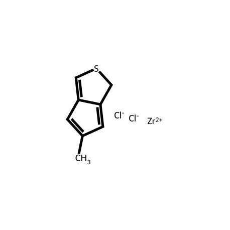 CC1=CC2=CSCC2=C1.[Cl-].[Cl-].[Zr+2]